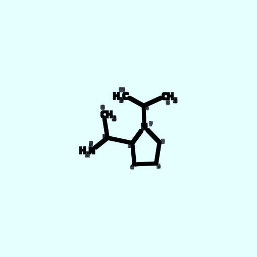 CC(N)C1CCCN1C(C)C